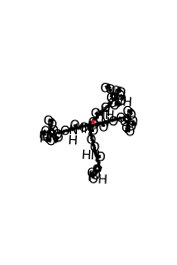 CC(=O)N[C@@H]1[C@H](OCCOCCNC(=O)CCOCC(COCCC(=O)NCCOCCO[C@H]2C[C@@H](OC(C)=O)[C@@H](OC(C)=O)[C@@H](COC(C)=O)O2)(COCCC(=O)NCCOCCO[C@H]2O[C@H](COC(C)=O)[C@@H](OC(C)=O)[C@@H](OC(C)=O)[C@@H]2NC(C)=O)NC(=O)CCOCCOCCNC(=O)CCc2ccc(OP(=O)(O)I)cc2)O[C@H](COC(C)=O)[C@@H](OC(C)=O)[C@H]1OC(C)=O